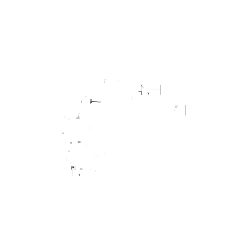 FC(F)(F)CCN[C@H]1CC[C@@H](Oc2ccc3cnccc3c2)CC1